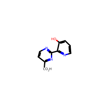 O=C(O)c1ccnc(-c2ncccc2O)n1